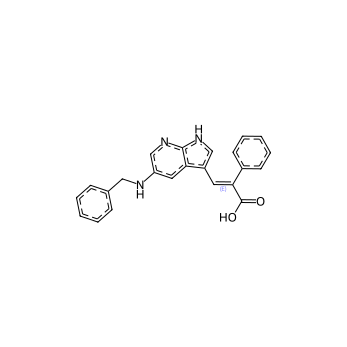 O=C(O)/C(=C/c1c[nH]c2ncc(NCc3ccccc3)cc12)c1ccccc1